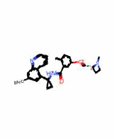 COc1cc(C2(NC(=O)c3cc(OC[C@H]4CCN4C)ccc3C)CC2)c2cccnc2c1